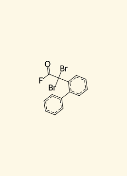 O=C(F)C(Br)(Br)c1ccccc1-c1ccccc1